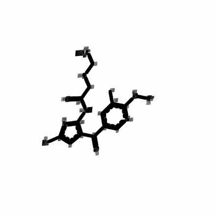 CCc1cc(C(=O)c2cnc(OC(C)C)c(C)c2)c(NC(=O)CSCC(=O)O)s1